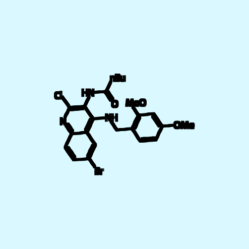 CCCCC(=O)Nc1c(Cl)nc2ccc(Br)cc2c1NCc1ccc(OC)cc1OC